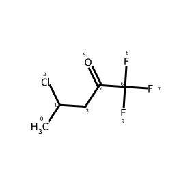 CC(Cl)CC(=O)C(F)(F)F